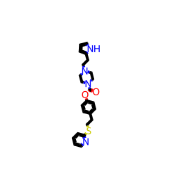 O=C(Oc1ccc(CCSc2ccccn2)cc1)N1CCN(CCc2ccc[nH]2)CC1